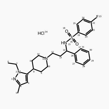 CCn1nc(C)cc1C1CCN(CCC(NS(=O)(=O)c2ccc(F)cc2)c2ccccc2)CC1.Cl